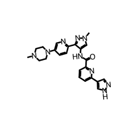 CN1CCN(c2ccc(-c3nn(C)cc3NC(=O)c3cccc(-c4cn[nH]c4)n3)nc2)CC1